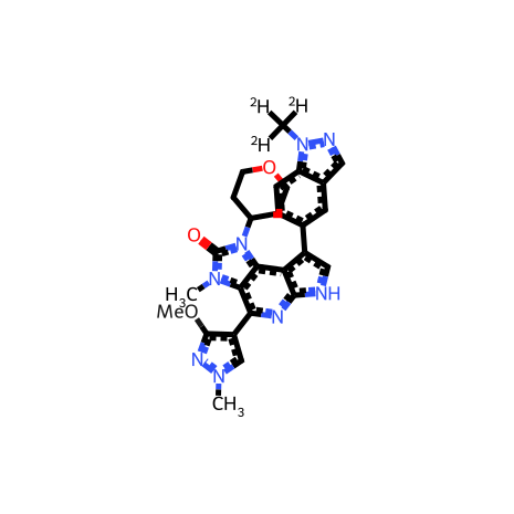 [2H]C([2H])([2H])n1ncc2cc(-c3c[nH]c4nc(-c5cn(C)nc5OC)c5c(c34)n(C3CCOCC3)c(=O)n5C)ccc21